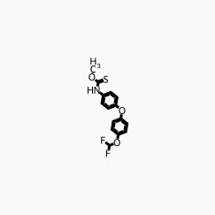 COC(=S)Nc1ccc(Oc2ccc(OC(F)F)cc2)cc1